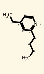 CCCCc1cc(CC)ccn1